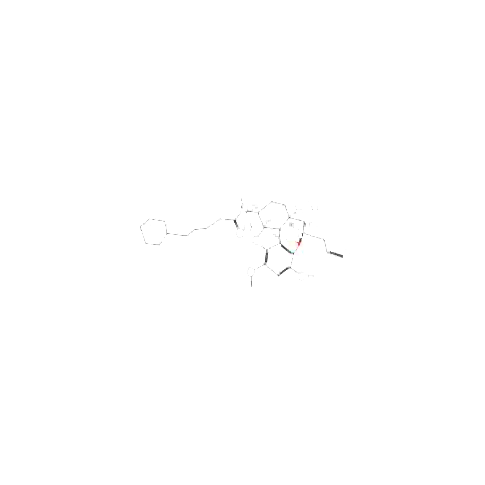 C=CCN1CC[C@]23c4c5c(O)cc(OC)c4O[C@H]2[C@@H](N(C)C(=O)CCCCC2CCCCC2)CC[C@H]3[C@H]1C5